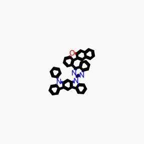 c1ccc(-n2c3ccccc3c3cc4c5ccccc5n(-c5nc(-c6cccc7oc8cc9ccccc9cc8c67)c6ccccc6n5)c4cc32)cc1